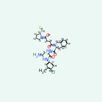 Cc1cc(NC(=O)[C@H](CCN)NC(=O)[C@@H]2Cc3ccccc3CN2C(=O)CCC(=O)N2CCC[C@@H]2CF)ccc1Cl